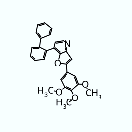 COc1cc(-c2cc3nccc(-c4ccccc4-c4ccccc4)c3o2)cc(OC)c1OC